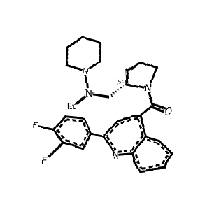 CCN(C[C@@H]1CCCN1C(=O)c1cc(-c2ccc(F)c(F)c2)nc2ccccc12)N1CCCCC1